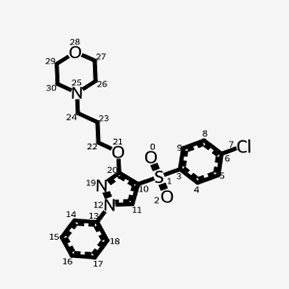 O=S(=O)(c1ccc(Cl)cc1)c1cn(-c2ccccc2)nc1OCCCN1CCOCC1